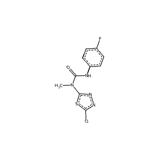 CN(C(=O)Nc1ccc(F)cc1)c1nnc(Cl)s1